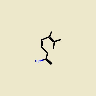 C=C(N)C/C=C\C(C)=C(C)C